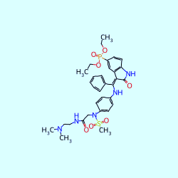 CCOP(=O)(OCC)c1ccc2c(c1)/C(=C(/Nc1ccc(N(CC(=O)NCCN(C)C)S(C)(=O)=O)cc1)c1ccccc1)C(=O)N2